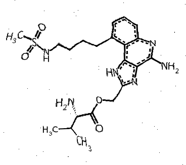 CC(C)[C@H](N)C(=O)OCc1nc2c(N)nc3cccc(CCCCNS(C)(=O)=O)c3c2[nH]1